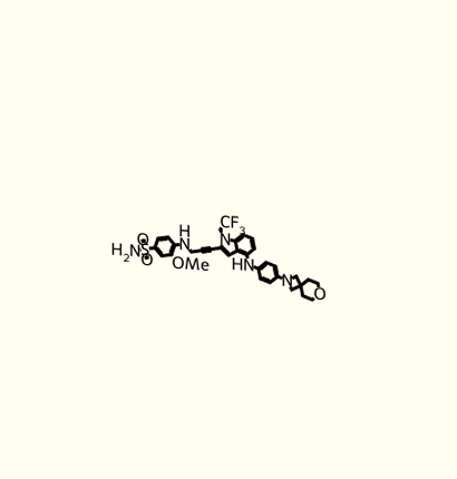 COc1cc(S(N)(=O)=O)ccc1NCC#Cc1cc2c(Nc3ccc(N4CC5(CCOCC5)C4)cc3)cccc2n1CC(F)(F)F